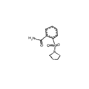 NC(=O)c1ccccc1S(=O)(=O)N1CCCC1